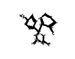 Cc1ccc([C@](CCO)(N[S@+]([O-])C(C)(C)C)c2ncccc2F)cc1